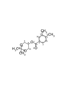 Cc1ccc(C(=O)OC2COC(C)(C)OC2)cc1C